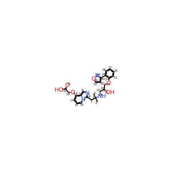 CC(C)(Cc1ncc2c(OCC(=O)O)cccn12)NC[C@H](O)COc1ccccc1-c1ccon1